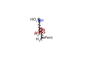 CCCCC/C(C)=C\C=C(/C)C(=O)c1c(O)cc(CCC/C=C/NC(=O)O)oc1=O